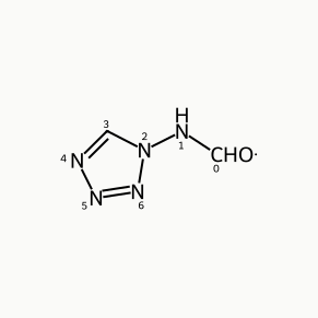 O=[C]Nn1cnnn1